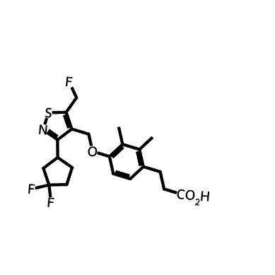 Cc1c(CCC(=O)O)ccc(OCc2c(C3CCC(F)(F)C3)nsc2CF)c1C